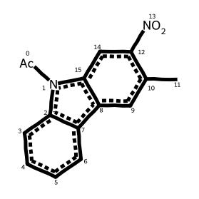 CC(=O)n1c2ccccc2c2cc(C)c([N+](=O)[O-])cc21